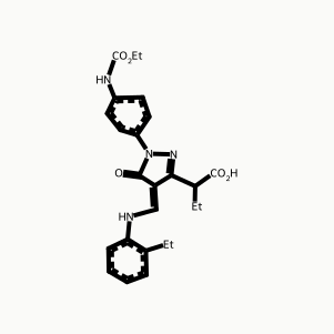 CCOC(=O)Nc1ccc(N2N=C(C(CC)C(=O)O)C(=CNc3ccccc3CC)C2=O)cc1